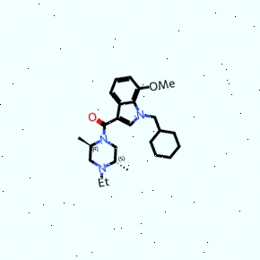 CCN1C[C@@H](C)N(C(=O)c2cn(CC3CCCCC3)c3c(OC)cccc23)C[C@@H]1C